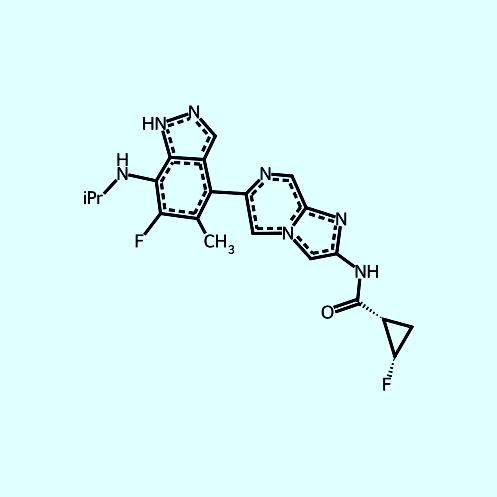 Cc1c(F)c(NC(C)C)c2[nH]ncc2c1-c1cn2cc(NC(=O)[C@@H]3C[C@@H]3F)nc2cn1